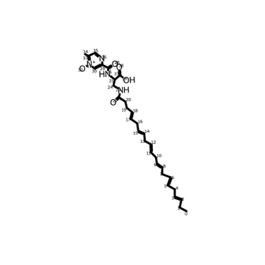 CCC=CCC=CCC=CCC=CCC=CCC=CCCC(=O)NCC(NC(=O)c1c[n+]([O-])c(C)cn1)C(=O)O